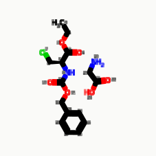 CCOC(=O)[C@H](CCl)NC(=O)OCc1ccccc1.NCC(=O)O